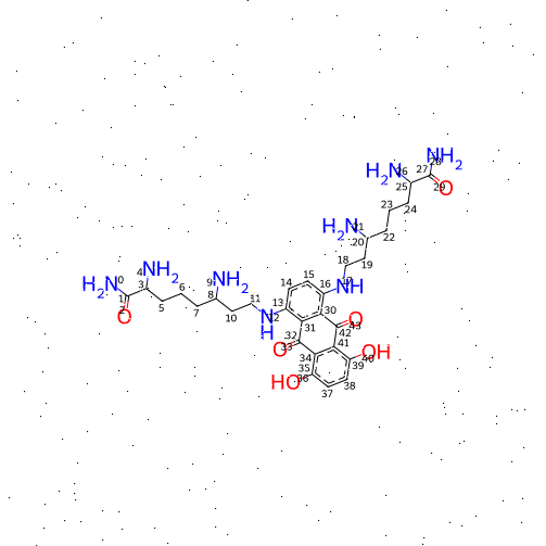 NC(=O)C(N)CCCC(N)CCNc1ccc(NCCC(N)CCCC(N)C(N)=O)c2c1C(=O)c1c(O)ccc(O)c1C2=O